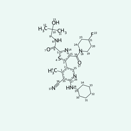 Cc1c(-c2sc(C(=O)NCC(C)(C)O)nc2C(=O)N2CCC(F)CC2)cnc(NC2CCCCC2)c1C#N